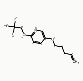 C=CCCCOc1ccc(OCC(F)(F)F)nc1